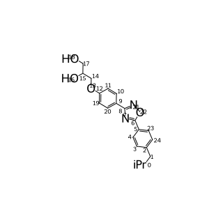 CC(C)Cc1ccc(-c2nc(-c3ccc(OCC(O)CO)cc3)no2)cc1